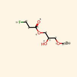 CCCCOCC(O)COC(=O)CCF